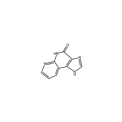 O=c1[nH]c2ncccc2c2[nH]cnc12